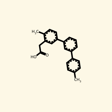 Cc1ccc(-c2cccc(-c3ccc(C)c(CC(=O)O)c3)c2)cc1